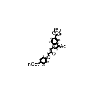 CCCCCCCCc1ccc(OCC(=O)Cn2cc(C(C)=O)c3cc(C(=O)OC(C)(C)C)ccc32)cc1